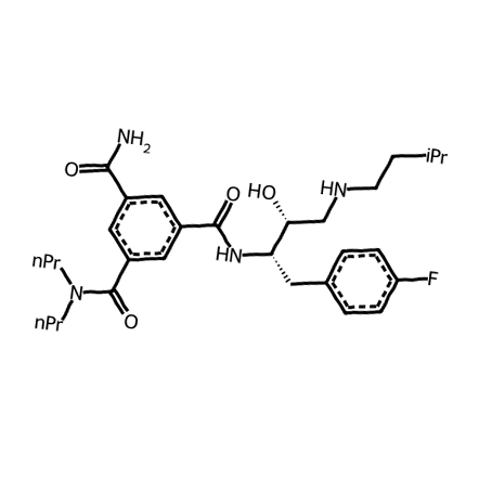 CCCN(CCC)C(=O)c1cc(C(N)=O)cc(C(=O)N[C@@H](Cc2ccc(F)cc2)[C@H](O)CNCCC(C)C)c1